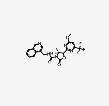 COc1cc(C(F)(F)F)nc(C2OC(=O)N(C(=O)NCc3cncc4ccccc34)[C@H]2C)n1